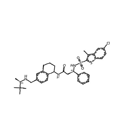 Cc1c(S(=O)(=O)N[C@H](CC(=O)NC2CCCc3cc(CN[C@H](C)C(C)(C)C)ccc32)c2ccccc2)sc2ccc(Cl)cc12